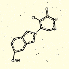 COc1ccc2cn(-c3cn[nH]c(=O)c3Cl)cc2c1